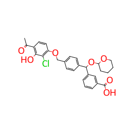 CC(=O)c1ccc(OCc2ccc(C(OC3CCCCO3)c3cccc(C(=O)O)c3)cc2)c(Cl)c1O